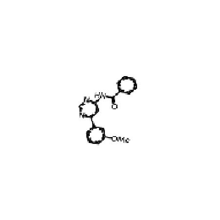 COc1cccc(-c2cc(NC(=O)c3ccccc3)ncn2)c1